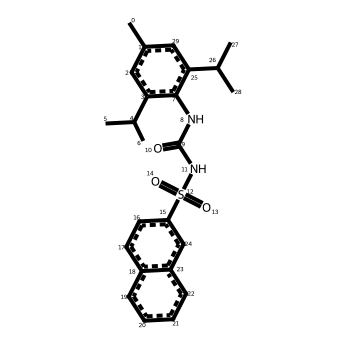 Cc1cc(C(C)C)c(NC(=O)NS(=O)(=O)c2ccc3ccccc3c2)c(C(C)C)c1